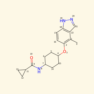 Cc1c(OC2CCC(NC(=O)C3CC3)CC2)ccc2[nH]ncc12